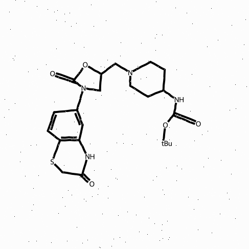 CC(C)(C)OC(=O)NC1CCN(CC2CN(c3ccc4c(c3)NC(=O)CS4)C(=O)O2)CC1